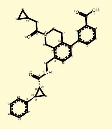 O=C(O)c1cccc(-c2ccc(CNC(=O)[C@@H]3C[C@H]3c3ccccc3)c3c2CCN(C(=O)CC2CC2)C3)c1